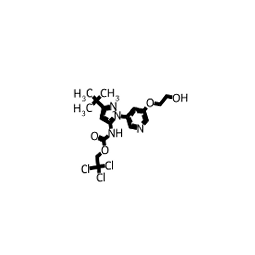 CC(C)(C)c1cc(NC(=O)OCC(Cl)(Cl)Cl)n(-c2cncc(OCCO)c2)n1